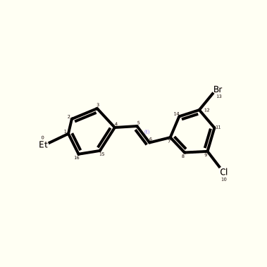 CCc1ccc(/C=C/c2cc(Cl)cc(Br)c2)cc1